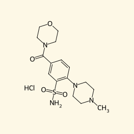 CN1CCN(c2ccc(C(=O)N3CCOCC3)cc2S(N)(=O)=O)CC1.Cl